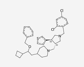 Clc1ccc(CN2C[C@H](CN3CCC(CC(OCc4ccccc4)C4CCC4)CC3)[C@@H](c3ccsc3)C2)c(Cl)c1